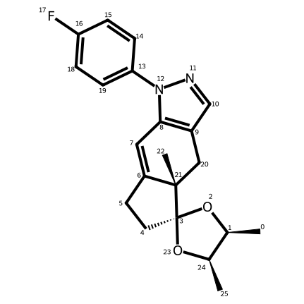 C[C@@H]1O[C@@]2(CCC3=Cc4c(cnn4-c4ccc(F)cc4)C[C@@]32C)O[C@@H]1C